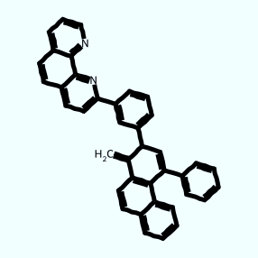 C=C1c2ccc3ccccc3c2C(c2ccccc2)=CC1c1cccc(-c2ccc3ccc4cccnc4c3n2)c1